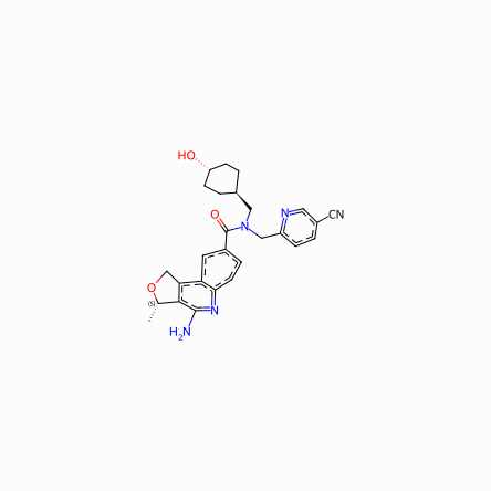 C[C@@H]1OCc2c1c(N)nc1ccc(C(=O)N(Cc3ccc(C#N)cn3)C[C@H]3CC[C@H](O)CC3)cc21